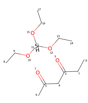 CCC(=O)CC(C)=O.CCO[SiH](OCC)OCC